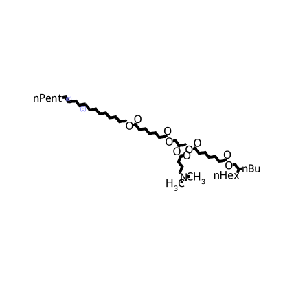 CCCCC/C=C/C/C=C/CCCCCCCCOC(=O)CCCCCC(=O)OCC(COC(=O)CCCCCC(=O)OCC(CCCC)CCCCCC)OC(=O)CCCN(C)C